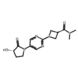 CN(C)C(=O)C1CN(c2ncc(N3CC[C@H](O)C3=O)cn2)C1